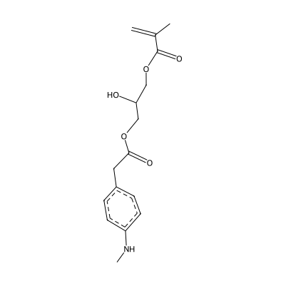 C=C(C)C(=O)OCC(O)COC(=O)Cc1ccc(NC)cc1